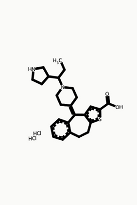 CCC(C1CCNC1)N1CCC(=C2c3ccccc3CCc3sc(C(=O)O)cc32)CC1.Cl.Cl